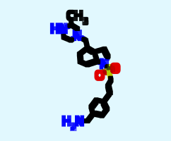 CC1CN(Cc2cccc3c2ccn3S(=O)(=O)CC=Cc2ccc(CN)cc2)CCN1